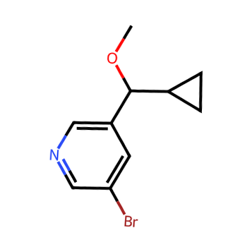 COC(c1cncc(Br)c1)C1CC1